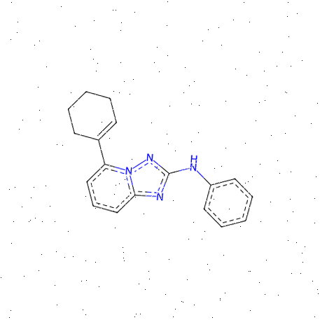 C1=C(c2cccc3nc(Nc4ccccc4)nn23)CCCC1